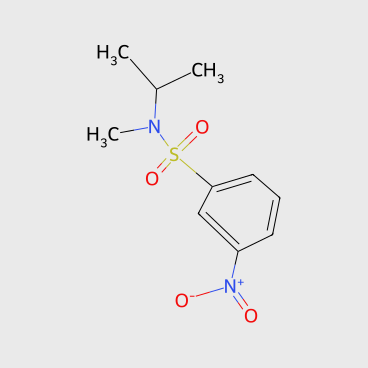 CC(C)N(C)S(=O)(=O)c1cccc([N+](=O)[O-])c1